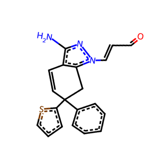 Nc1nn(C=CC=O)c2c1C=CC(c1ccccc1)(c1cccs1)C2